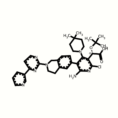 CC1(C)CCN(c2c(-c3ccc4c(c3)CCN(c3nccc(-c5cccnc5)n3)C4)c(N)nc(Cl)c2[C@H](OC(C)(C)C)C(=O)O)CC1